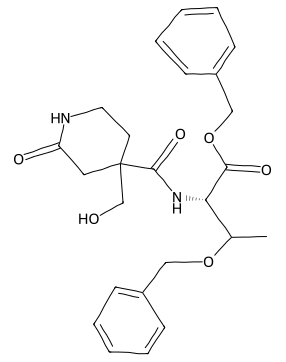 CC(OCc1ccccc1)[C@H](NC(=O)C1(CO)CCNC(=O)C1)C(=O)OCc1ccccc1